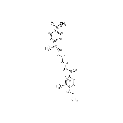 C=C(C)C(/C=C\CC(=O)OCCCCOC(=C)c1ccc(C(C)=O)cc1)=C/CC